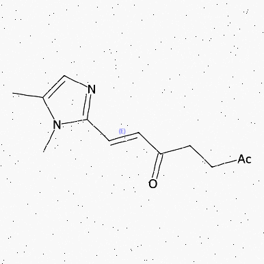 CC(=O)CCC(=O)/C=C/c1ncc(C)n1C